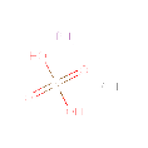 O=S(=O)(O)O.P.[AlH3]